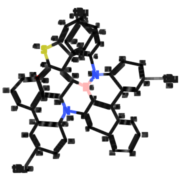 CC(C)(C)c1ccc(N2B3c4c(cc5ccccc5c4-c4cc(C(C)(C)C)ccc42)N(c2ccc(C(C)(C)C)cc2-c2ccccc2)c2ccc4sc5ccccc5c4c23)cc1